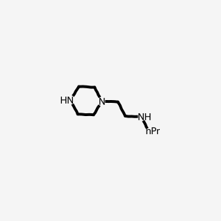 CCCNCCN1CCNCC1